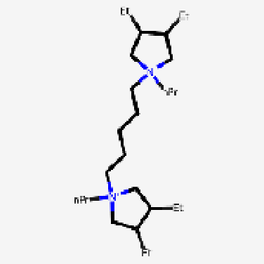 CCC[N+]1(CCCCC[N+]2(CCC)CC(CC)C(CC)C2)CC(CC)C(CC)C1